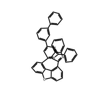 c1ccc(-c2cccc(-c3cc(-c4cccc5oc6cccc(-c7nc8ccccc8o7)c6c45)nc(-c4ccccc4)n3)c2)cc1